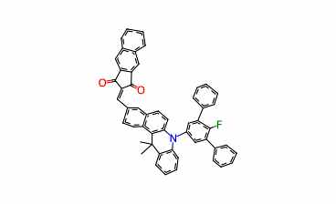 CC1(C)c2ccccc2N(c2cc(-c3ccccc3)c(F)c(-c3ccccc3)c2)c2ccc3cc(C=C4C(=O)c5cc6ccccc6cc5C4=O)ccc3c21